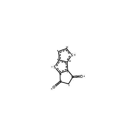 O=C1CC(=O)c2c1sc1ccsc21